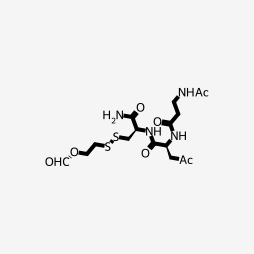 CC(=O)C[C@H](NC(=O)CCNC(C)=O)C(=O)N[C@@H](CSSCCOC=O)C(N)=O